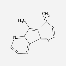 C=c1ccnc2c1=C(C)c1ncccc1-2